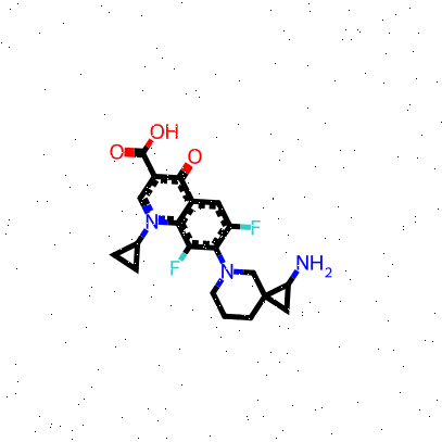 NC1CC12CCCN(c1c(F)cc3c(=O)c(C(=O)O)cn(C4CC4)c3c1F)C2